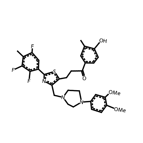 COc1ccc(N2CCN(Cc3nc(-c4cc(F)c(C)c(F)c4F)sc3CCC(=O)c3ccc(O)c(C)c3)CC2)cc1OC